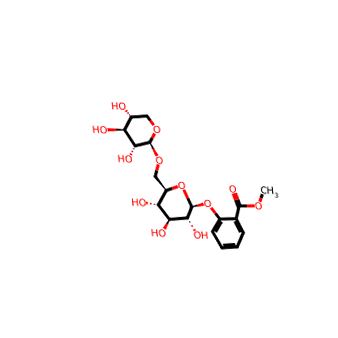 COC(=O)c1ccccc1O[C@@H]1O[C@H](CO[C@@H]2OC[C@@H](O)[C@H](O)[C@H]2O)[C@@H](O)[C@H](O)[C@H]1O